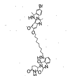 COc1cc2c(NC(C)c3cccc(Br)c3)nc(C)nc2cc1OCCCCCCCCCNc1cccc2nc(C)n(C3CCC(=O)NC3=O)c(=O)c12